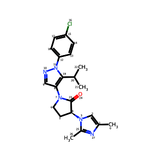 Cc1cn([C@H]2CCN(c3cnn(-c4ccc(Cl)cc4)c3C(C)C)C2=O)c(C)n1